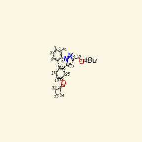 Cc1ccccc1-n1nc(COC(C)(C)C)cc1-c1cccc(OC2CCC2)c1